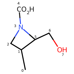 CC1CN(C(=O)O)C1CO